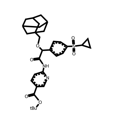 CC(C)(C)OC(=O)c1ccc(NC(=O)C(OCC23CC4CC(CC(C4)C2)C3)c2ccc(S(=O)(=O)C3CC3)cc2)nc1